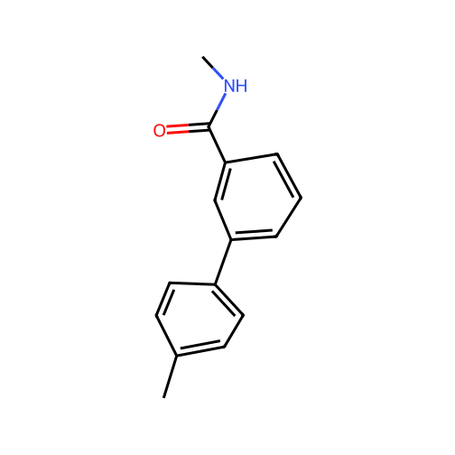 CNC(=O)c1cccc(-c2ccc(C)cc2)c1